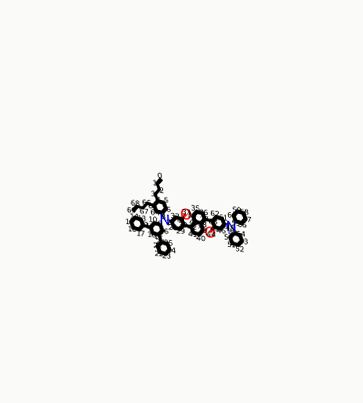 C=CCCc1ccc(N(c2cc(-c3ccccc3)cc(-c3ccccc3)c2)c2ccc3c(c2)Oc2ccc4c5c(ccc-3c25)Oc2cc(N(c3ccccc3)c3ccccc3)ccc2-4)cc1CCC=C